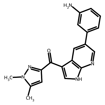 Cc1cc(C(=O)c2c[nH]c3ncc(-c4cccc(N)c4)cc23)nn1C